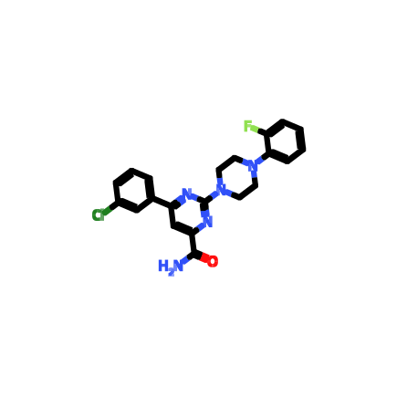 NC(=O)c1cc(-c2cccc(Cl)c2)nc(N2CCN(c3ccccc3F)CC2)n1